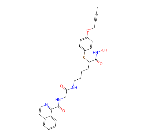 CC#CCOc1ccc(SC(CCCCNC(=O)CNC(=O)c2nccc3ccccc23)C(=O)NO)cc1